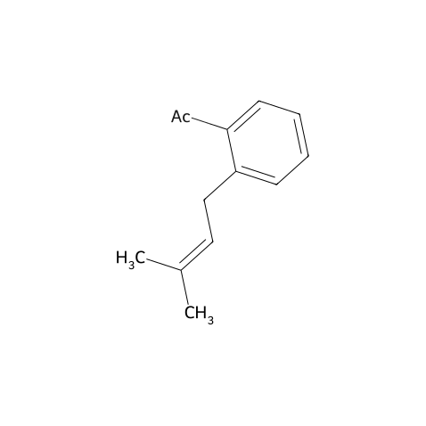 CC(=O)c1ccccc1CC=C(C)C